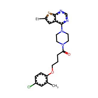 CCc1cc2c(N3CCN(C(=O)CCCOc4ccc(Cl)cc4C)CC3)ncnc2s1